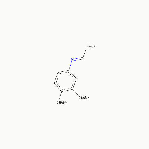 COc1ccc(N=CC=O)cc1OC